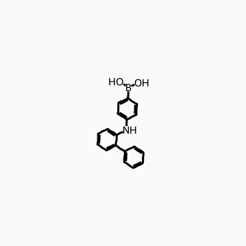 OB(O)c1ccc(Nc2ccccc2-c2ccccc2)cc1